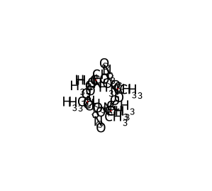 CC(C)C[C@H]1C(=O)O[C@H](Cc2ccc(N3CCOCC3)cc2)C(=O)N(C)[C@@H](CC(C)C)C(=O)O[C@H](C)C(=O)N(C)[C@@H](CC(C)C)C(=O)O[C@H](Cc2ccc(N3CCOCC3)cc2)C(=O)N(C)[C@@H](CC(C)C)C(=O)O[C@H](C)CN1C